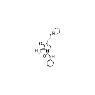 C[C@H]1C(=O)N(CCCN2CCCCC2)CCN1C(=O)Nc1ccccc1